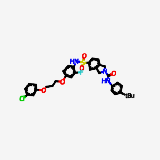 CC(C)(C)c1ccc(NC(=O)N2Cc3ccc(S(=O)(=O)Nc4ccc(OCCCOc5cccc(Cl)c5)cc4F)cc3C2)cc1